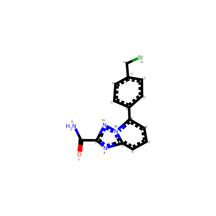 NC(=O)c1nc2cccc(-c3ccc(CBr)cc3)n2n1